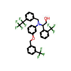 OCC(c1ccccc1C(F)(F)F)N(Cc1cccc(C(F)(F)C(F)(F)F)c1)c1cccc(OCc2cccc(C(F)(F)F)c2)c1